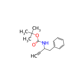 C#CC(Cc1ccccc1)NC(=O)OC(C)(C)C